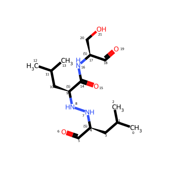 CC(C)C[C@@H](C=O)NN[C@@H](CC(C)C)C(=O)N[C@H](C=O)CO